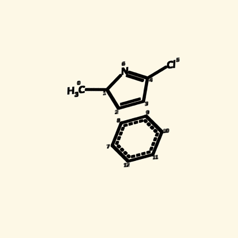 CC1C=CC(Cl)=N1.c1ccccc1